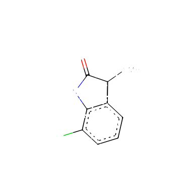 CSC1C(=O)Nc2c(Cl)cccc21